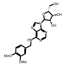 COc1ccc(CNc2ncnc3c2ncn3C2O[C@H](CO)[C@@H](O)[C@H]2O)cc1OC